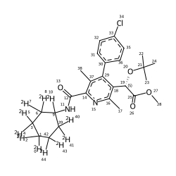 [2H]C1([2H])C([2H])([2H])C([2H])([2H])C([2H])(NC(=O)c2nc(C)c([C@H](OC(C)(C)C)C(=O)OC)c(-c3ccc(Cl)cc3)c2C)C([2H])([2H])C1([2H])[2H]